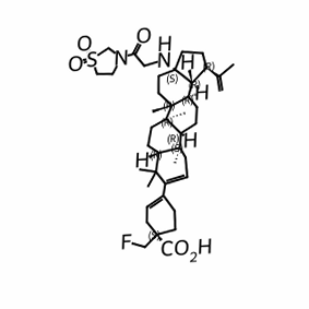 C=C(C)[C@@H]1CC[C@]2(NCC(=O)N3CCS(=O)(=O)C3)CC[C@]3(C)[C@H](CC[C@@H]4[C@@]5(C)CC=C(C6=CC[C@](CF)(C(=O)O)CC6)C(C)(C)[C@@H]5CC[C@]43C)[C@@H]12